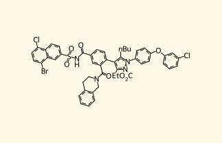 CCCCc1c(-c2ccc(C(=O)NS(=O)(=O)c3ccc4c(Cl)ccc(Br)c4c3)cc2C(=O)N2CCc3ccccc3C2)c(C(=O)OCC)nn1-c1ccc(Oc2cccc(Cl)c2)cc1